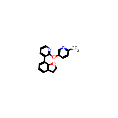 FC(F)(F)c1ccc(Oc2ncccc2-c2cccc3c2OCC3)cn1